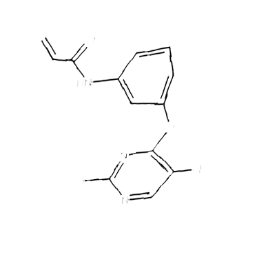 C=CC(=O)Nc1cccc(Oc2nc(Cl)ncc2Cl)c1